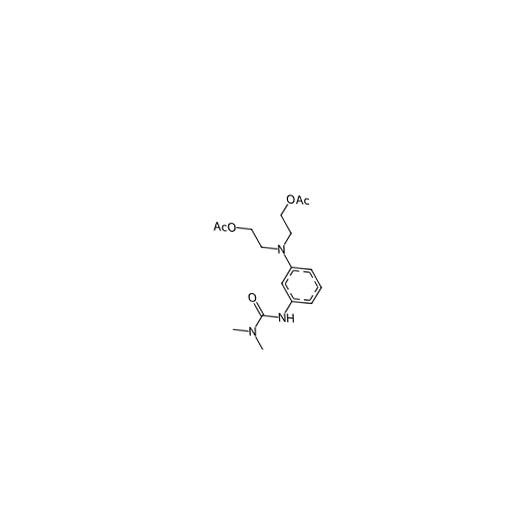 CC(=O)OCCN(CCOC(C)=O)c1cccc(NC(=O)N(C)C)c1